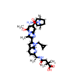 COc1cc(C(=O)N2[C@@H]3CC[C@H]2C[C@@H](N)C3)cc2nc(-c3cc4ccc([C@@H](C)NC(=O)CC(C)(C)C(=O)O)nc4n3CC3CC3)c(C)n12